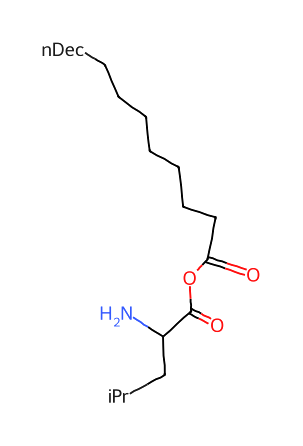 CCCCCCCCCCCCCCCCCC(=O)OC(=O)C(N)CC(C)C